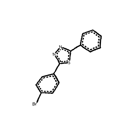 Brc1ccc(-c2nnc(-c3ccccc3)s2)cc1